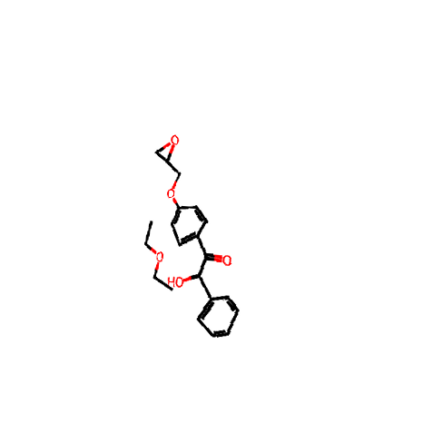 CCOCC.O=C(c1ccc(OCC2CO2)cc1)C(O)c1ccccc1